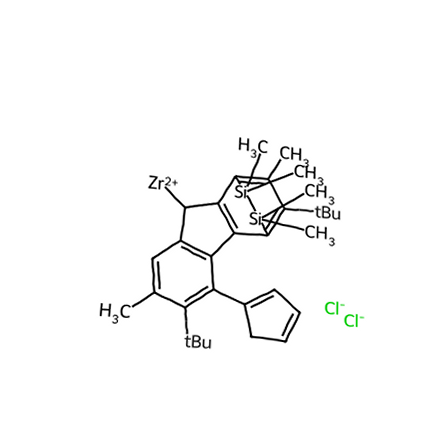 Cc1cc2c(c(C3=CC=CC3)c1C(C)(C)C)-c1c(c3c(C)c(C(C)(C)C)c1[Si](C)(C)[Si]3(C)C)[CH]2[Zr+2].[Cl-].[Cl-]